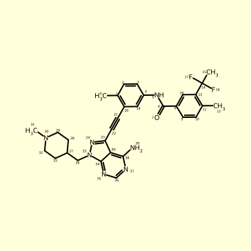 Cc1ccc(NC(=O)c2ccc(C)c(C(C)(F)F)c2)cc1C#Cc1nn(CC2CCN(C)CC2)c2ncnc(N)c12